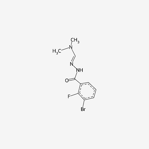 CN(C)C=NNC(=O)c1cccc(Br)c1F